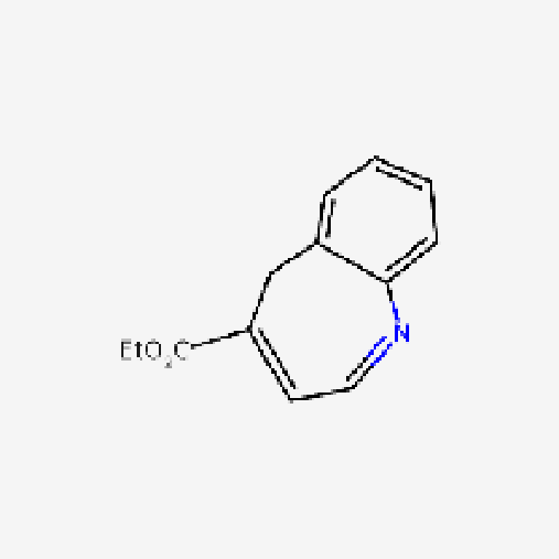 CCOC(=O)C1=CC=Nc2ccccc2C1